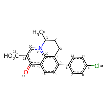 CC1CCc2c(-c3ccc(Cl)cc3)ccc3c(=O)c(C(=O)O)cn1c23